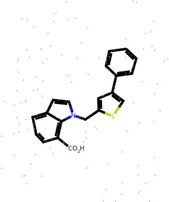 O=C(O)c1cccc2ccn(Cc3cc(-c4ccccc4)cs3)c12